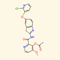 COc1ccnc(C(=O)Nc2nc3ccc(Oc4cccnc4Cl)cc3s2)c1OC(C)=O